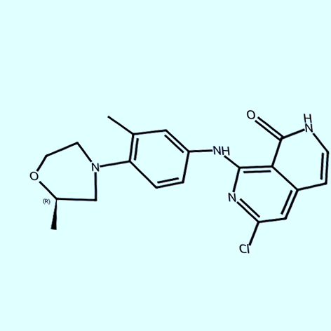 Cc1cc(Nc2nc(Cl)cc3cc[nH]c(=O)c23)ccc1N1CCO[C@H](C)C1